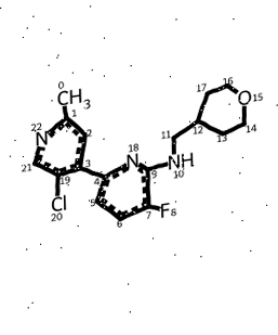 Cc1cc(-c2ccc(F)c(NCC3CCOCC3)n2)c(Cl)cn1